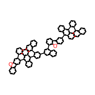 c1ccc(-c2cc3oc4ccccc4c3cc2-c2c3ccccc3c(-c3ccc(-c4cc(-c5cccc6c5oc5ccc(-c7c8ccccc8c(-c8ccccc8-c8cccc9ccccc89)c8ccccc78)cc56)c5ccccc5c4)cc3-c3cccc4ccccc34)c3ccccc23)cc1